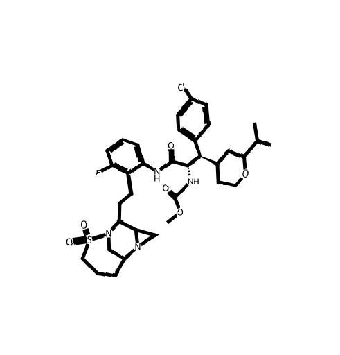 COC(=O)N[C@H](C(=O)Nc1cccc(F)c1CCC1C2CN2C2CCCS(=O)(=O)N1C2)[C@@H](c1ccc(Cl)cc1)C1CCOC(C(C)C)C1